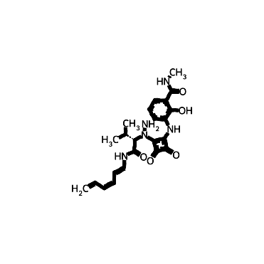 C=C/C=C\C=CNC(=O)[C@H](C(C)C)N(N)c1c(Nc2cccc(C(=O)NC)c2O)c(=O)c1=O